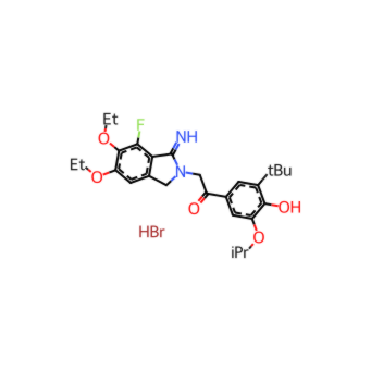 Br.CCOc1cc2c(c(F)c1OCC)C(=N)N(CC(=O)c1cc(OC(C)C)c(O)c(C(C)(C)C)c1)C2